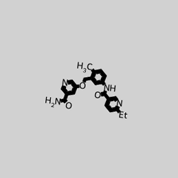 CCc1ccc(C(=O)Nc2ccc(C)c(COc3cncc(C(N)=O)c3)c2)cn1